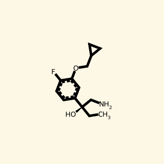 CC[C@@](O)(CN)c1ccc(F)c(OCC2CC2)c1